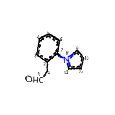 O=CCc1ccccc1-n1cccc1